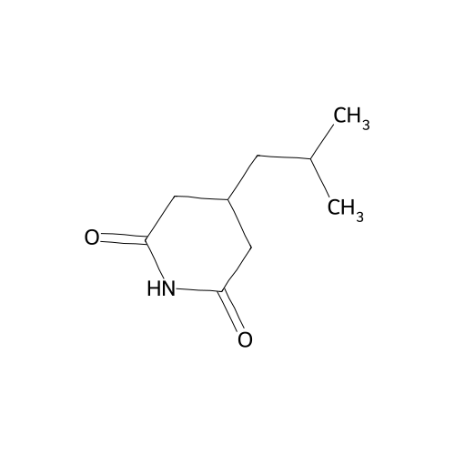 CC(C)CC1CC(=O)NC(=O)C1